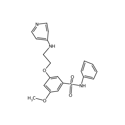 COc1cc(OCCNc2ccncc2)cc(S(=O)(=O)Nc2ccccc2)c1